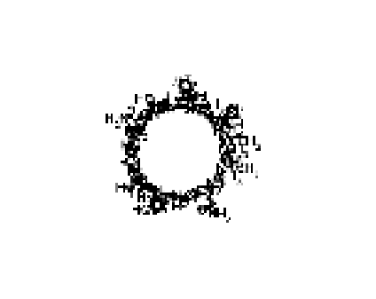 CCCC[C@H]1C(=O)N(C)[C@@H](CCCC)C(=O)N[C@@H](C)C(=O)N[C@H](C(=O)NCC(N)=O)CSCC(=O)N[C@@H](Cc2ccc(O)cc2)C(=O)N(C)[C@@H](C)C(=O)N[C@@H](CC(=O)O)C(=O)N2CCC[C@H]2C(=O)N[C@@H](CN)C(=O)N[C@@H](CCC(N)=O)C(=O)N2C[C@H](O)C[C@H]2C(=O)N[C@@H](Cc2c[nH]c3ccccc23)C(=O)N[C@@H](CO)C(=O)N[C@@H](Cc2c[nH]c3ccccc23)C(=O)N1C